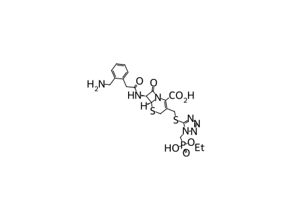 CCOP(=O)(O)Cn1nnnc1SCC1=C(C(=O)O)N2C(=O)[C@H](NC(=O)Cc3ccccc3CN)[C@H]2SC1